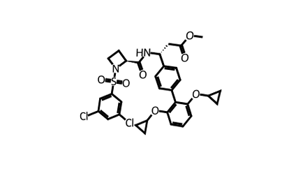 COC(=O)C[C@@H](NC(=O)[C@@H]1CCN1S(=O)(=O)c1cc(Cl)cc(Cl)c1)c1ccc(-c2c(OC3CC3)cccc2OC2CC2)cc1